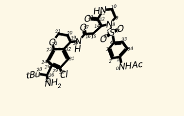 CC(=O)Nc1ccc(S(=O)(=O)N2CCNC(=O)C2CC(=O)NC2CCOc3cc(C(N)C(C)(C)C)c(Cl)cc32)cc1